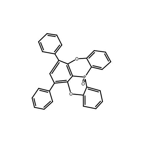 O=P12c3ccccc3Oc3c(-c4ccccc4)cc(-c4ccccc4)c(c31)Oc1ccccc12